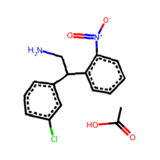 CC(=O)O.NCC(c1cccc(Cl)c1)c1ccccc1[N+](=O)[O-]